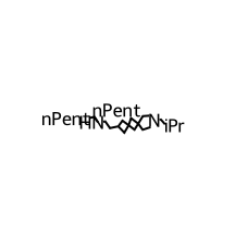 CCCCCC(CCCCC)NCCC1CC2(C1)CC1(CCN(CC(C)C)CC1)C2